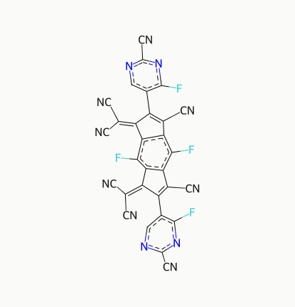 N#CC(C#N)=C1C(c2cnc(C#N)nc2F)=C(C#N)c2c(F)c3c(c(F)c21)C(=C(C#N)C#N)C(c1cnc(C#N)nc1F)=C3C#N